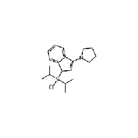 CC(C)[Si](Cl)(C(C)C)C1C=C(N2CCCC2)c2ccccc21